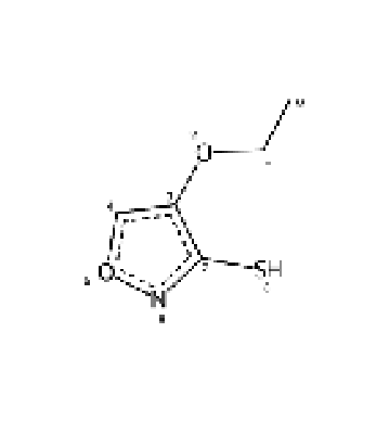 CCOc1conc1S